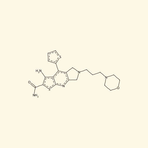 NC(=O)c1sc2nc3c(c(-c4cccs4)c2c1N)CN(CCCN1CCOCC1)C3